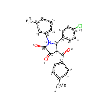 COc1ccc(C(=O)C2C(=O)C(=O)N(c3cccc(C(F)(F)F)c3)C2c2ccc(Cl)cc2)cc1